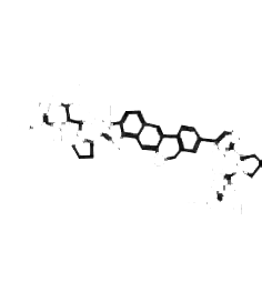 COC(=O)N[C@H](C(=O)N1CCC[C@H]1c1nc2c(ccc3cc4c(cc32)OCc2cc(-c3cnc([C@H]5CCCN5C(=O)OC(C)(C)C)[nH]3)ccc2-4)[nH]1)C(C)C